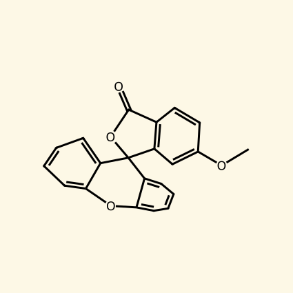 COc1ccc2c(c1)C1(OC2=O)c2ccccc2Oc2ccccc21